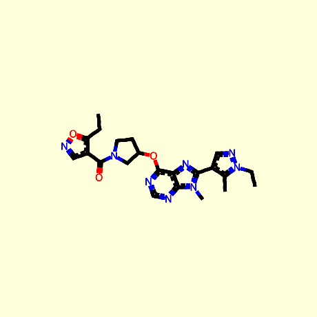 CCc1oncc1C(=O)N1CCC(Oc2ncnc3c2nc(-c2cnn(CC)c2C)n3C)C1